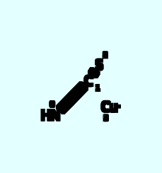 N=C=S.[Cu]